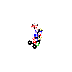 CC(C)(C)OC(=O)CON=C(C(=O)NC1C(=O)N2C(C(=O)OC(c3ccccc3)c3ccccc3)=C(CCl)C[S+]([O-])[C@@H]12)c1cscn1